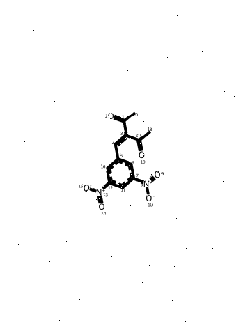 CC(=O)C(=Cc1cc([N+](=O)[O-])cc([N+](=O)[O-])c1)C(C)=O